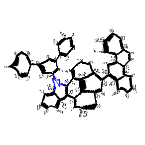 c1ccc(-c2cc(-c3ccccc3)cc(-n3c4ccccc4c4c5cccc6cc(-c7cc8c9ccccc9ccc8c8ccccc78)c7cccc(c7c65)c43)c2)cc1